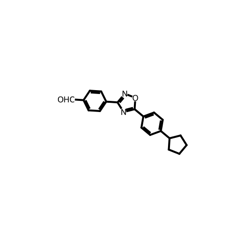 O=Cc1ccc(-c2noc(-c3ccc(C4CCCC4)cc3)n2)cc1